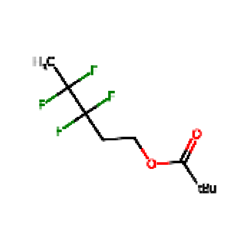 CC(C)(C)C(=O)OCCC(F)(F)C(C)(F)F